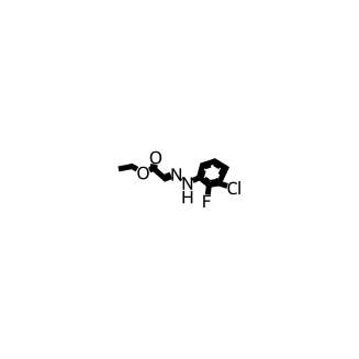 CCOC(=O)C=NNc1cccc(Cl)c1F